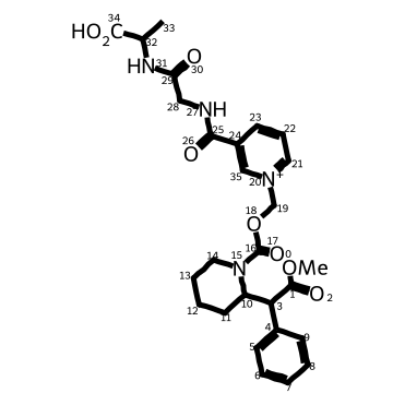 COC(=O)C(c1ccccc1)C1CCCCN1C(=O)OC[n+]1cccc(C(=O)NCC(=O)NC(C)C(=O)O)c1